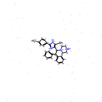 CCCc1[nH]c(-c2ccc(C)cc2)nc1C(C(c1ccccc1)c1ccccc1)N1CCNCC1